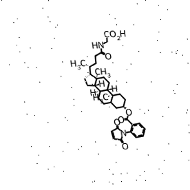 C[C@H](CCC(=O)NCC(=O)O)[C@H]1CC[C@H]2[C@@H]3CCC4C[C@H](OC(=O)c5ccccc5N5C(=O)C=CC5=O)CC[C@]4(C)[C@H]3CC[C@]12C